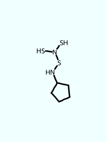 SN(S)SNC1CCCC1